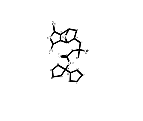 CCC1OC(CC)C2C3OC(CC3CC(C)(O)CC(=O)OC3(C4CCCC4)CCCC3)C12